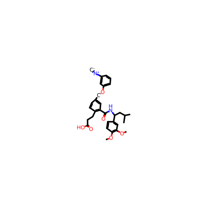 [C-]#[N+]c1cccc(OCc2ccc(CCC(=O)O)c(C(=O)NC(CC(C)C)c3ccc(OC)c(OC)c3)c2)c1